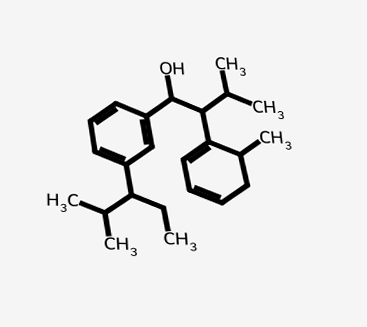 CCC(c1cccc(C(O)C(C2=CC=CCC2C)C(C)C)c1)C(C)C